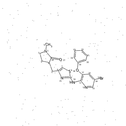 CN1CCC(Cc2csc(Nc3ncc(Br)cc3Oc3ccccc3)n2)C1=O